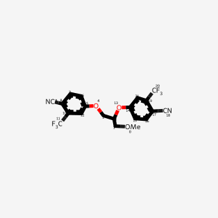 COCC(COc1ccc(C#N)c(C(F)(F)F)c1)Oc1ccc(C#N)c(C(F)(F)F)c1